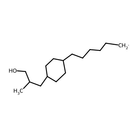 [CH2]CCCCCC1CCC(CC(C)CO)CC1